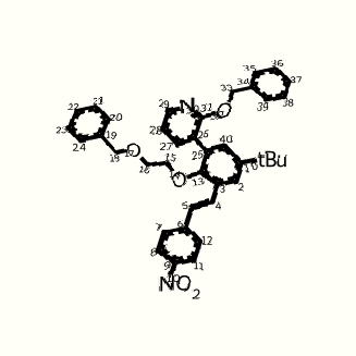 CC(C)(C)c1cc(C=Cc2ccc([N+](=O)[O-])cc2)c(OCCOCc2ccccc2)c(-c2cccnc2OCc2ccccc2)c1